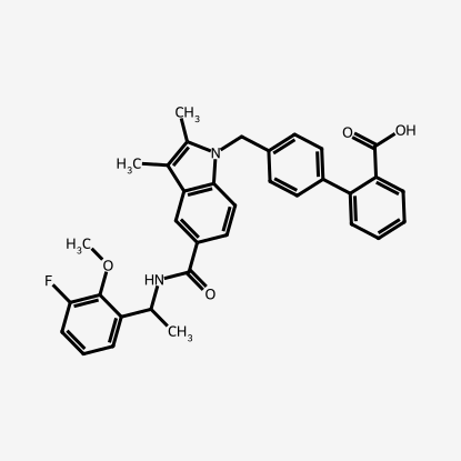 COc1c(F)cccc1C(C)NC(=O)c1ccc2c(c1)c(C)c(C)n2Cc1ccc(-c2ccccc2C(=O)O)cc1